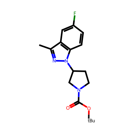 Cc1nn(C2CCN(C(=O)OC(C)(C)C)C2)c2ccc(F)cc12